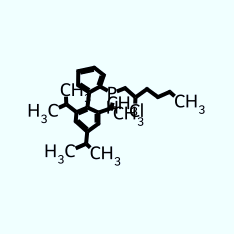 CCCCC(Cl)CPc1ccccc1-c1c(C(C)C)cc(C(C)C)cc1C(C)C